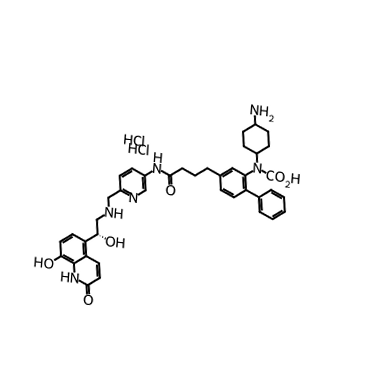 Cl.Cl.NC1CCC(N(C(=O)O)c2cc(CCCC(=O)Nc3ccc(CNC[C@H](O)c4ccc(O)c5[nH]c(=O)ccc45)nc3)ccc2-c2ccccc2)CC1